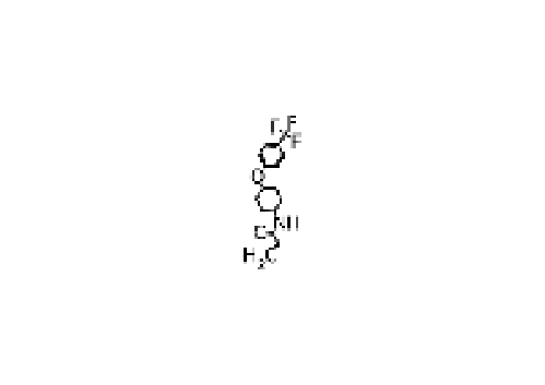 C=CC(=O)N[C@H]1CC[C@H](Oc2ccc(C(F)(F)F)cc2)CC1